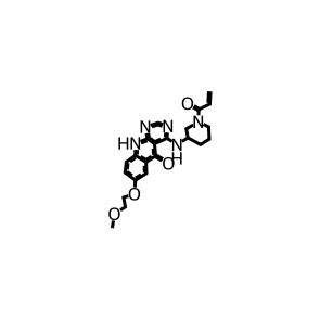 C=CC(=O)N1CCCC(Nc2ncnc3[nH]c4ccc(OCCOC)cc4c(=O)c23)C1